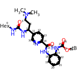 CCCCCCNC(=O)NC(CCN(C)C)c1ccc(C(=O)Nc2ccccc2NC(=O)OC(C)(C)C)nc1